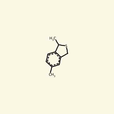 Cc1ccc2c(c1)CSC2C